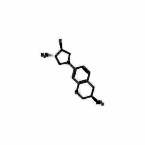 N[C@H]1COc2cc(N3C[C@H](N)[C@@H](F)C3)ccc2C1